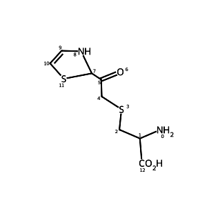 NC(CSCC(=O)C1NC=CS1)C(=O)O